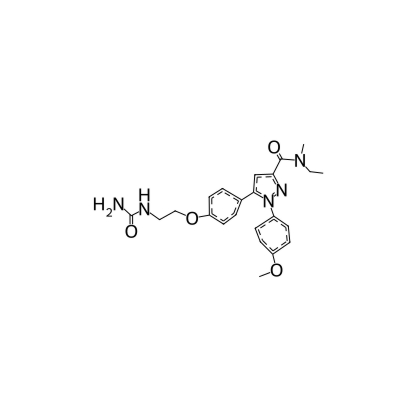 CCN(C)C(=O)c1cc(-c2ccc(OCCNC(N)=O)cc2)n(-c2ccc(OC)cc2)n1